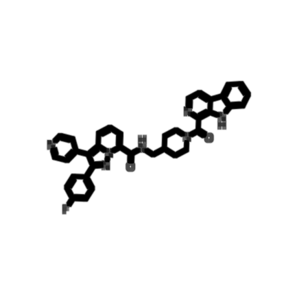 O=C(NCC1CCN(C(=O)c2nccc3c2[nH]c2ccccc23)CC1)c1cccc2c(-c3ccncc3)c(-c3ccc(F)cc3)nn12